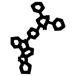 c1ccc(-c2cc(-c3ccc(-n4c5ccccc5c5c6sc7ccccc7c6ccc54)cc3)nc(-c3ccccc3)n2)cc1